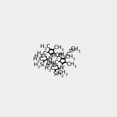 CCC(C)([N-]C1=C(C)C(C)=C(C)C1C)C(C)=[SiH2].CCC(C)([N-]C1=C(C)C(C)=C(C)C1C)C(C)=[SiH2].[CH3][Ti+2][CH3]